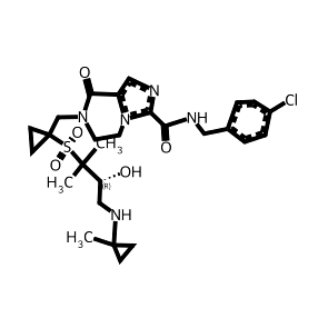 CC1(NC[C@@H](O)C(C)(C)S(=O)(=O)C2(CN3CCn4c(cnc4C(=O)NCc4ccc(Cl)cc4)C3=O)CC2)CC1